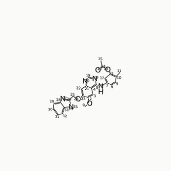 COc1cc2c(Nc3ccc(C)c(OC(C)=O)c3)ncnc2cc1OCc1nc2ccccc2n1C